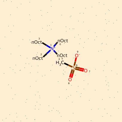 CCCCCCCC[N+](CCCCCCCC)(CCCCCCCC)CCCCCCCC.CS(=O)(=O)[O-]